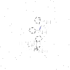 CCCCS(=O)(=O)N(c1ccc(N/C(=C2\C(=O)Nc3ccccc32)c2ccccc2)cc1)C(C)(C)C(N)=O